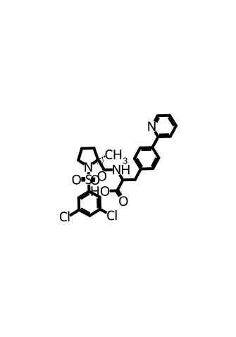 C[C@@]1(C(=O)NC(Cc2ccc(-c3ccccn3)cc2)C(=O)O)CCCN1S(=O)(=O)c1cc(Cl)cc(Cl)c1